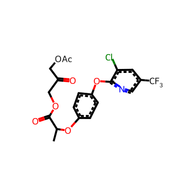 CC(=O)OCC(=O)COC(=O)C(C)Oc1ccc(Oc2ncc(C(F)(F)F)cc2Cl)cc1